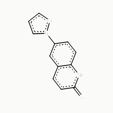 O=c1ccc2cc(-n3cccn3)ccc2[nH]1